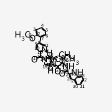 COc1ccccc1-c1ccc(C(=O)N2C[C@@H]3C[C@H]2CN3C(=O)[C@@H](NC(=O)c2cc3ccccc3[nH]2)C(C)(C)C)nc1